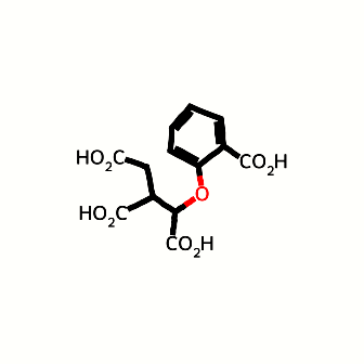 O=C(O)CC(C(=O)O)C(Oc1ccccc1C(=O)O)C(=O)O